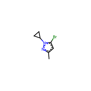 Cc1cc(Br)n(C2CC2)n1